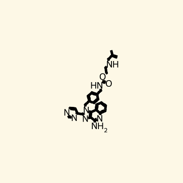 C=C(C)CNCCOC(=O)NCc1ccc(Cn2c(-c3ccncn3)nc3c(N)nc4ccccc4c32)cc1